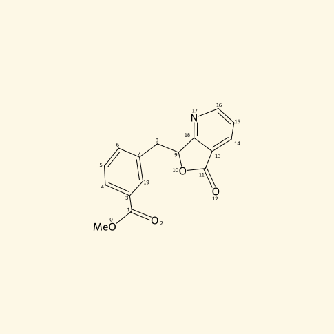 COC(=O)c1cccc(CC2OC(=O)c3cccnc32)c1